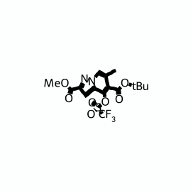 COC(=O)c1cc2c(OS(=O)(=O)C(F)(F)F)c(C(=O)OC(C)(C)C)c(C)cn2n1